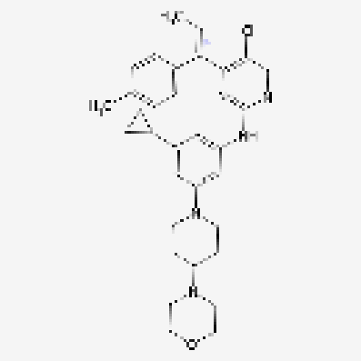 C/C=C(\c1ccc(C)cc1)c1nc(Nc2cc(C3CC3)cc(N3CCC(N4CCOCC4)CC3)c2)ncc1Cl